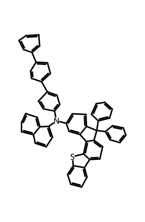 c1ccc(-c2ccc(-c3ccc(N(c4ccc5c(c4)-c4c(ccc6c4sc4ccccc46)C5(c4ccccc4)c4ccccc4)c4cccc5ccccc45)cc3)cc2)cc1